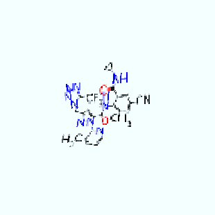 Cc1cccnc1-n1nc(Cn2nnnc2C(F)(F)F)cc1C(=O)Nc1c(C)cc(C#N)cc1C(=O)NC1CC1